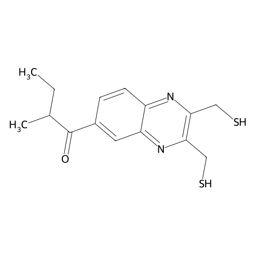 CCC(C)C(=O)c1ccc2nc(CS)c(CS)nc2c1